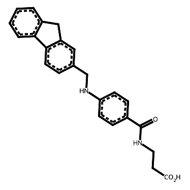 O=C(O)CCNC(=O)c1ccc(NCc2ccc3c(c2)Cc2ccccc2-3)cc1